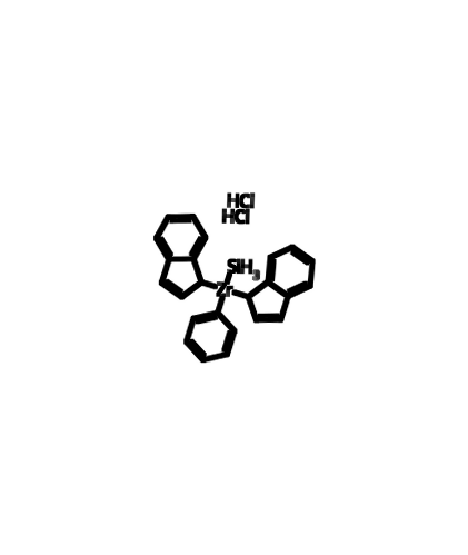 Cl.Cl.[SiH3][Zr]([c]1ccccc1)([CH]1C=Cc2ccccc21)[CH]1C=Cc2ccccc21